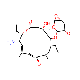 CC[C@H]1C[C@@H](C)C(=O)/C=C/C(C)=C/[C@H](N)[C@@H](CC)OC(=O)C[C@@H](O)[C@H](C)[C@H]1OC1OC2OC2CC1O